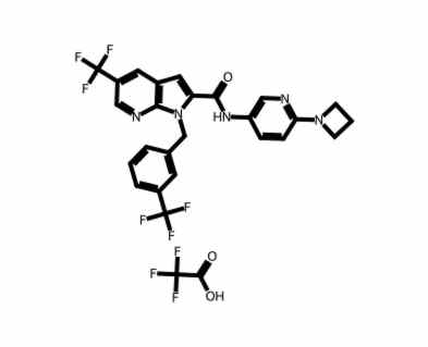 O=C(Nc1ccc(N2CCC2)nc1)c1cc2cc(C(F)(F)F)cnc2n1Cc1cccc(C(F)(F)F)c1.O=C(O)C(F)(F)F